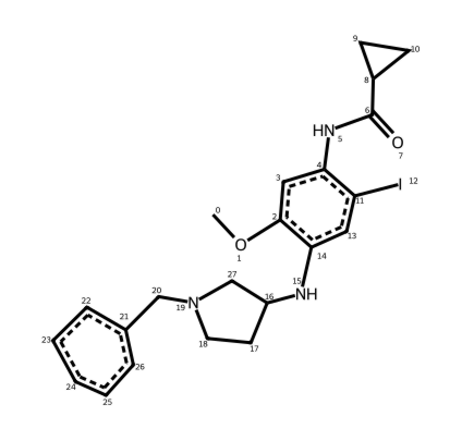 COc1cc(NC(=O)C2CC2)c(I)cc1NC1CCN(Cc2ccccc2)C1